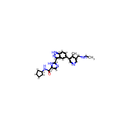 CCNCc1cncc(-c2ccc3[nH]nc(-c4ncc(C(=O)NC5CCCC5)[nH]4)c3c2)c1C